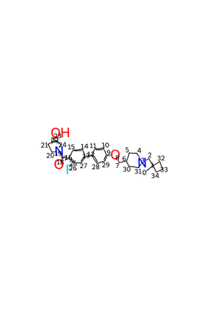 CC1(CN2CCC(COc3ccc(-c4ccc(C(=O)N5CC[C@H](O)C5)c(F)c4)cc3)CC2)CCC1